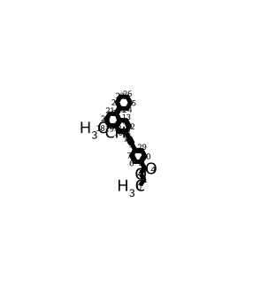 CCOC(=O)c1ccc(C#Cc2ccc3c(c2)C(C)(C)CCC3=C2CCCCC2)cc1